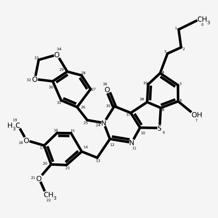 CCCCc1cc(O)c2sc3nc(Cc4ccc(OC)c(OC)c4)n(Cc4ccc5c(c4)OCO5)c(=O)c3c2c1